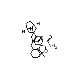 CC1(C)OC[C@@H](C(=O)N(CCN2[C@@H]3CC[C@H]2C[C@@H](c2cccc(C(N)=O)c2)C3)CC2CCCCC2)O1